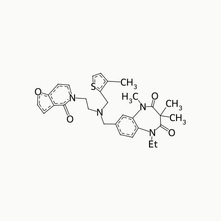 CCN1C(=O)C(C)(C)C(=O)N(C)c2cc(CN(CCn3ccc4occc4c3=O)Cc3sccc3C)ccc21